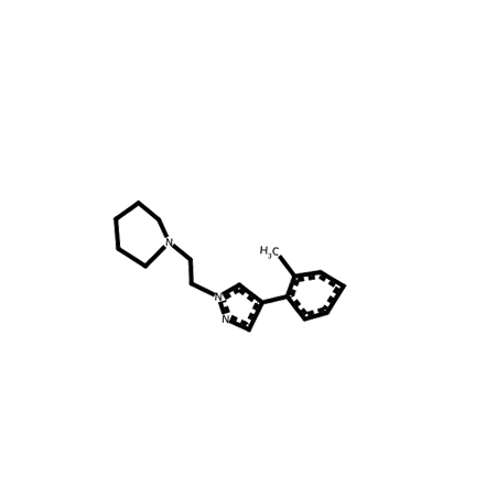 Cc1ccccc1-c1cnn(CCN2CCCCC2)c1